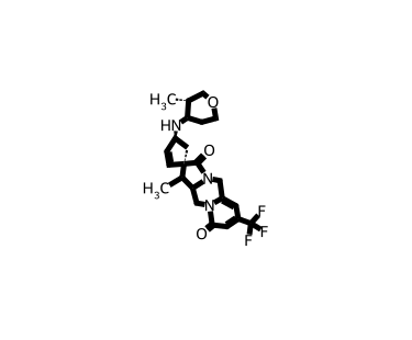 CC1C2Cn3c(cc(C(F)(F)F)cc3=O)CN2C(=O)[C@]12C=C[C@@H](NC1CCOC[C@H]1C)C2